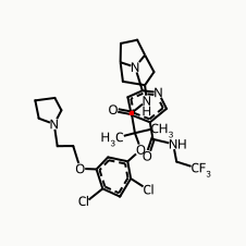 CC(C)(Oc1cc(OCCN2CCCC2)c(Cl)cc1Cl)C(=O)NC1CC2CCC(C1)N2c1ccc(C(=O)NCC(F)(F)F)cn1